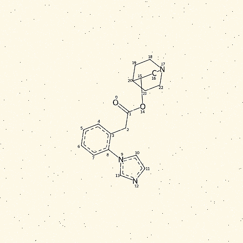 O=C(Cc1ccccc1-n1ccnc1)OC1CN2CCC1CC2